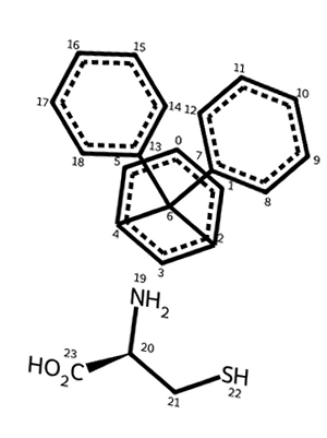 C1=CC2=CC(=C1)C2(c1ccccc1)c1ccccc1.N[C@@H](CS)C(=O)O